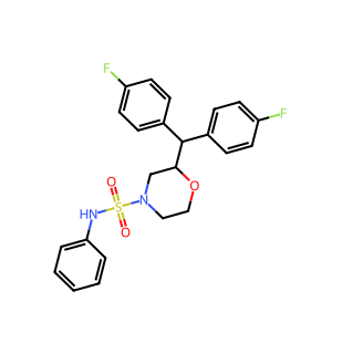 O=S(=O)(Nc1ccccc1)N1CCOC(C(c2ccc(F)cc2)c2ccc(F)cc2)C1